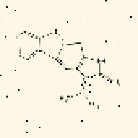 C=c1[nH]c2cc3sc4ccccc4c3cc2c1=C(C)C